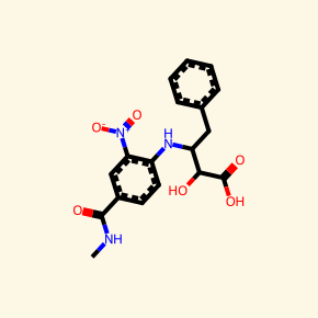 CNC(=O)c1ccc(NC(Cc2ccccc2)C(O)C(=O)O)c([N+](=O)[O-])c1